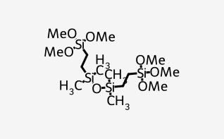 CO[Si](CC[Si](C)(C)O[Si](C)(C)CC[Si](OC)(OC)OC)(OC)OC